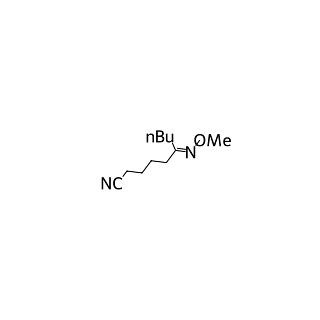 CCCC/C(CCCCC#N)=N\OC